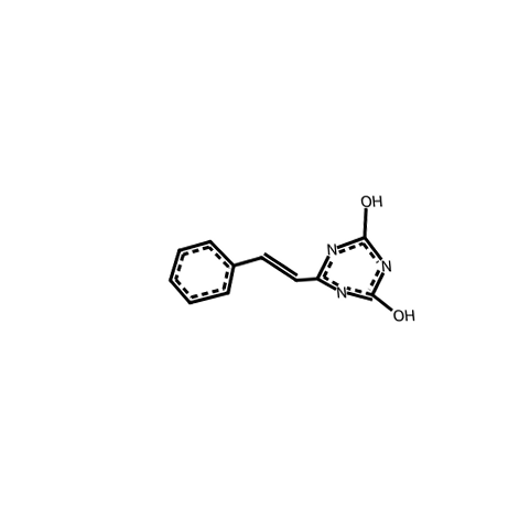 Oc1nc(O)nc(C=Cc2ccccc2)n1